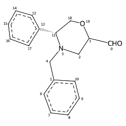 O=CC1CN(Cc2ccccc2)[C@H](c2ccccc2)CO1